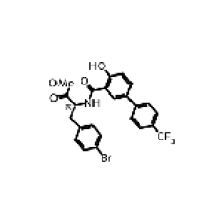 COC(=O)[C@H](Cc1ccc(Br)cc1)NC(=O)c1cc(-c2ccc(C(F)(F)F)cc2)ccc1O